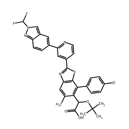 Cc1cc2nc(-c3ccnc(-c4ccc5nn(C(F)F)cc5c4)c3)sc2c(-c2ccc(Cl)cc2)c1C(OC(C)(C)C)C(=O)O